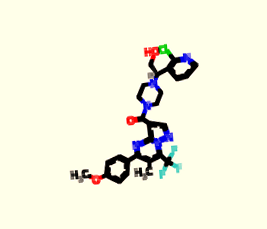 COc1ccc(-c2nc3c(C(=O)N4CCN([C@@H](CO)c5cccnc5Cl)CC4)cnn3c(C(F)(F)F)c2C)cc1